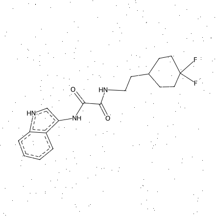 O=C(NCCC1CCC(F)(F)CC1)C(=O)Nc1c[nH]c2ccccc12